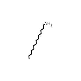 CCCCCCCCCCCCC[CH]N